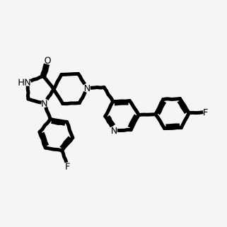 O=C1NCN(c2ccc(F)cc2)C12CCN(Cc1cncc(-c3ccc(F)cc3)c1)CC2